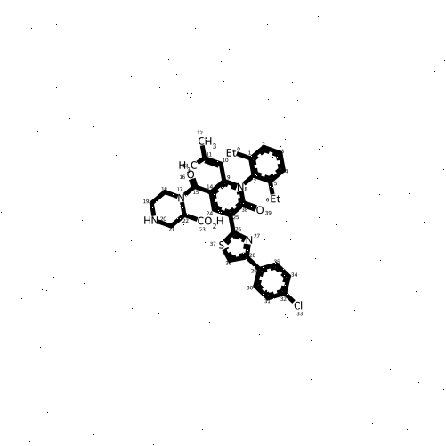 CCc1cccc(CC)c1-n1c(C=C(C)C)c(C(=O)N2CCNCC2C(=O)O)cc(-c2nc(-c3ccc(Cl)cc3)cs2)c1=O